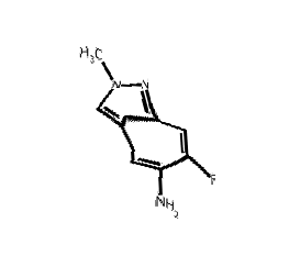 Cn1cc2cc(N)c(F)cc2n1